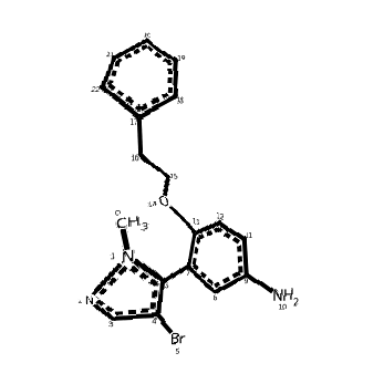 Cn1ncc(Br)c1-c1cc(N)ccc1OCCc1ccccc1